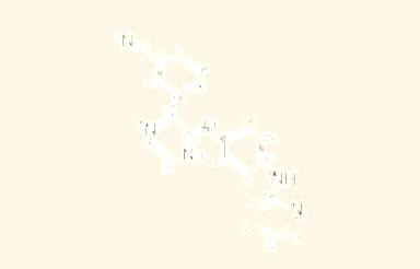 N#Cc1cccc(-c2nccnc2Oc2ccc(Nc3ccccn3)cc2)c1